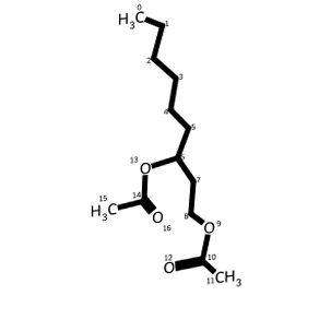 CCCCCCC(CCOC(C)=O)OC(C)=O